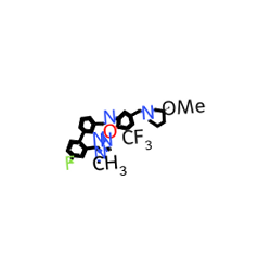 CO[C@@H]1CCCN(Cc2cc(C(F)(F)F)c3oc(-c4cccc(-c5ccc(F)cc5-c5nncn5C)c4)nc3c2)C1